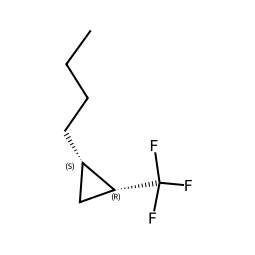 CCCC[C@H]1C[C@H]1C(F)(F)F